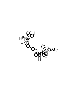 COC(=O)NC(C(=O)N1[C@@H]2C[C@H]2C[C@H]1c1nc2c(Oc3ccc(-c4ccc5[nH]c([C@@H]6C[C@H]7C[C@H]7N6C(=O)C(c6ccccc6)N(C)C(=O)O)nc5c4)cc3)cccc2[nH]1)c1ccccc1